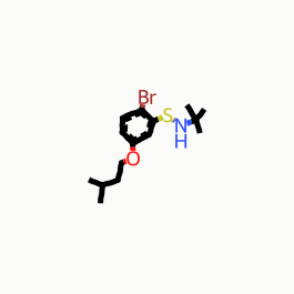 CC(C)CCOc1ccc(Br)c(SNC(C)(C)C)c1